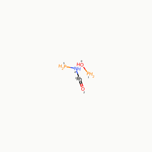 OP.[O]=[Rh][NH]P